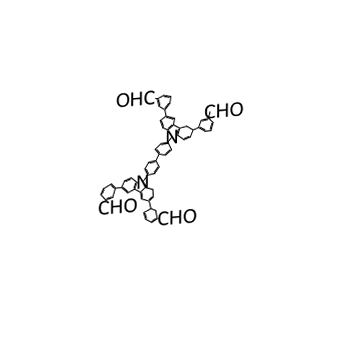 O=CC1=CC=CC(C2=CCC3C(=C2)c2cc(-c4cccc(C=O)c4)ccc2N3c2ccc(-c3ccc(-n4c5c(c6cc(-c7cccc(C=O)c7)ccc64)CC(c4cccc(C=O)c4)C=C5)cc3)cc2)C1